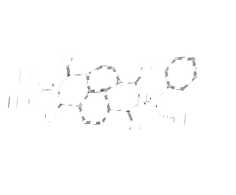 CCN(c1ccccc1)N1C(=O)c2ccc3c4c(ccc(c24)C1=O)C(=O)N(C(C)C)C3=O